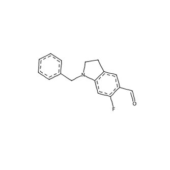 O=Cc1cc2c(cc1F)N(Cc1ccccc1)CC2